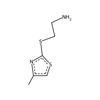 Cc1csc(SCCN)n1